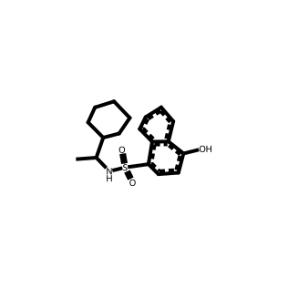 CC(NS(=O)(=O)c1ccc(O)c2ccccc12)C1CCCCC1